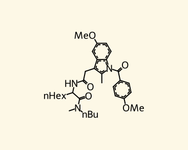 CCCCCCC(NC(=O)Cc1c(C)n(C(=O)c2ccc(OC)cc2)c2ccc(OC)cc12)C(=O)N(C)CCCC